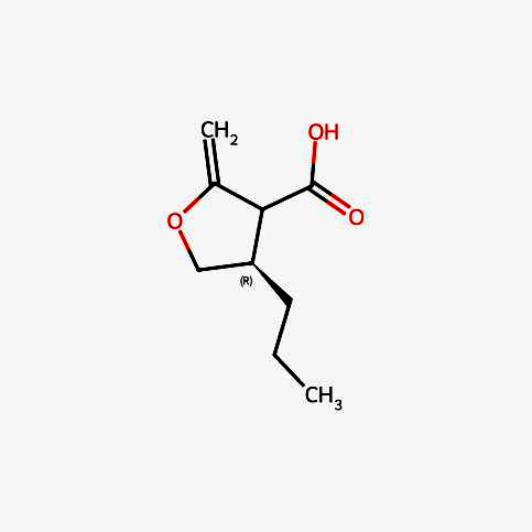 C=C1OC[C@H](CCC)C1C(=O)O